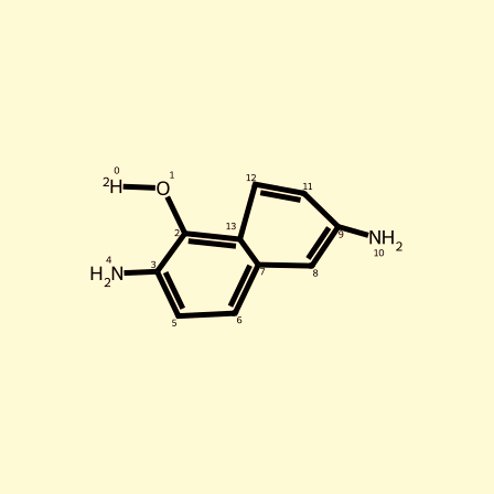 [2H]Oc1c(N)ccc2cc(N)ccc12